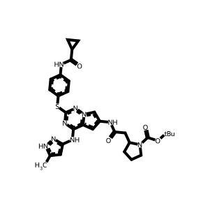 Cc1cc(Nc2nc(Sc3ccc(NC(=O)C4CC4)cc3)nn3cc(NC(=O)CC4CCCN4C(=O)OC(C)(C)C)cc23)n[nH]1